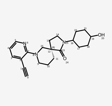 C#Cc1cccnc1N1CCC[C@@]2(CCN(C3CCC(O)CC3)C2=O)C1